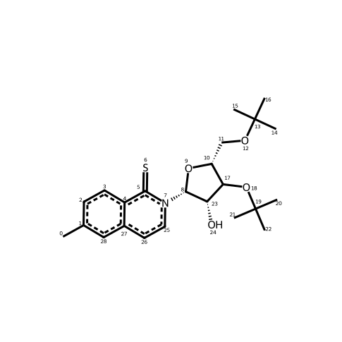 Cc1ccc2c(=S)n([C@@H]3O[C@H](COC(C)(C)C)C(OC(C)(C)C)[C@@H]3O)ccc2c1